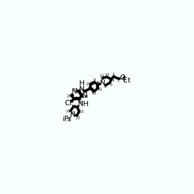 CCOCCC1CCN(c2ccc(-c3nc4c(NC5CCN(C(C)C)CC5)c(Cl)cnc4[nH]3)cc2)CC1